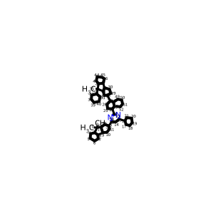 CC1(C)c2ccccc2-c2ccc(-c3cc(-c4ccccc4)nc(-c4ccc(-c5ccc6c(c5)C(C)(c5ccccc5)c5ccccc5-6)c5ccccc45)n3)cc21